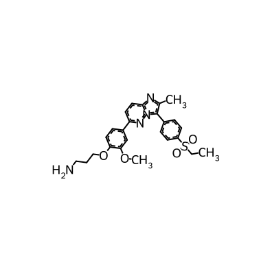 CCS(=O)(=O)c1ccc(-c2c(C)nc3ccc(-c4ccc(OCCCN)c(OC)c4)nn23)cc1